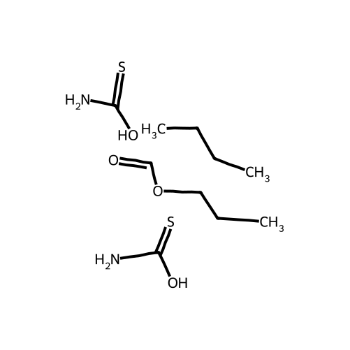 CCCC.CCCOC=O.NC(O)=S.NC(O)=S